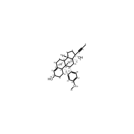 CC#C[C@]1(O)CC[C@H]2[C@@H]3CCC4=C[C@H](O)CC[C@]4(C)[C@H]3[C@@H](c3ccc(OC)cc3)C[C@@]21C